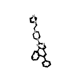 c1ccc(C2Cc3cnc(N4CCN(CCn5ccnc5)CC4)nc3-c3ccccc32)cc1